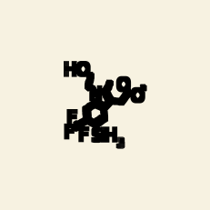 COC(=O)Cc1c(C)n(CCO)c2cc(C(F)(F)F)c([SiH3])cc12